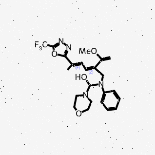 C=C(OC)/C(=C\C=C(/C)c1nnc(C(F)(F)F)o1)CN(c1ccccc1)C(O)N1CCOCC1